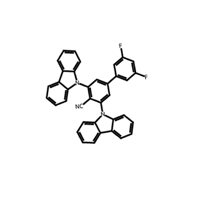 N#Cc1c(-n2c3ccccc3c3ccccc32)cc(-c2cc(F)cc(F)c2)cc1-n1c2ccccc2c2ccccc21